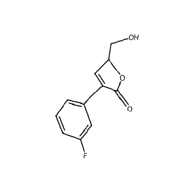 O=C1OC(CO)C=C1c1cccc(F)c1